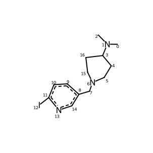 CN(C)C1CCN(Cc2ccc(I)nc2)CC1